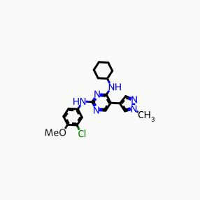 COc1ccc(Nc2ncc(-c3cnn(C)c3)c(NC3CCCCC3)n2)cc1Cl